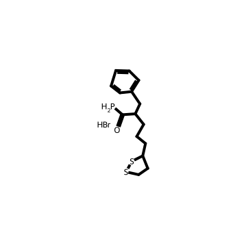 Br.O=C(P)C(CCCC1CCSS1)Cc1ccccc1